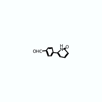 O=Cc1ccc(-c2cccc(=O)[nH]2)cc1